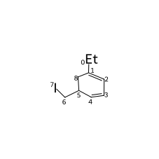 CCC1=CC=CC(CI)C1